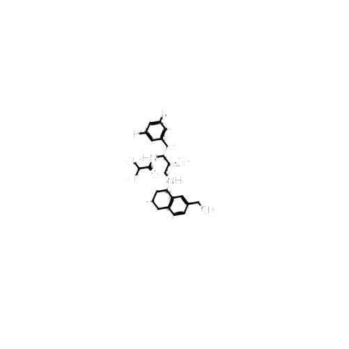 CCc1ccc2c(c1)[C@@H](NC[C@@H](O)[C@H](Cc1cc(F)cc(F)c1)NC(=O)C(Cl)Cl)CCC2